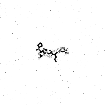 CC/C=C(/COP(=O)(O)CP(=O)(O)O)[C@@H](O)C(C)(O)[C@@H](O)n1cnc2c(N(C)C3CCCC3)nc(Cl)nc21